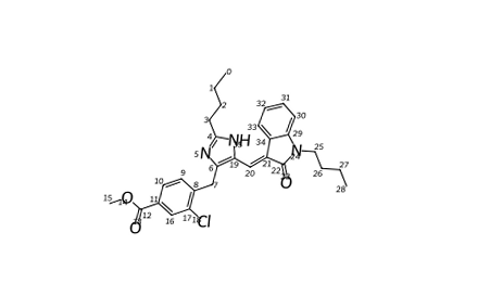 CCCCc1nc(Cc2ccc(C(=O)OC)cc2Cl)c(C=C2C(=O)N(CCCC)c3ccccc32)[nH]1